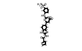 NS(=O)(=O)c1cccc(Nc2nc(-c3ccc4[nH]c(NC(=O)c5cccs5)nc4c3)cc(=O)[nH]2)c1